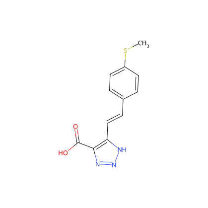 CSc1ccc(/C=C/c2[nH]nnc2C(=O)O)cc1